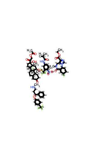 CC(=O)OCC(=O)[C@@]1(O)CC[C@H]2[C@@H]3CCC4=CC(=O)CC[C@]4(C)[C@@]3(F)[C@@H](O)C[C@@]21C.CC(C)C(=O)Nc1ccc([N+](=O)[O-])c(C(F)(F)F)c1.CCOC(=O)c1ncn2c1CN(C)C(=O)c1cc(F)ccc1-2.CNCCC(Oc1ccc(C(F)(F)F)cc1)c1ccccc1